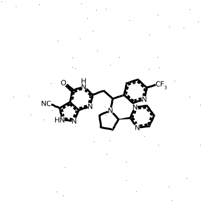 N#Cc1[nH]nc2nc(CC(c3ccc(C(F)(F)F)nc3)N3CCC[C@@H]3c3ncccn3)[nH]c(=O)c12